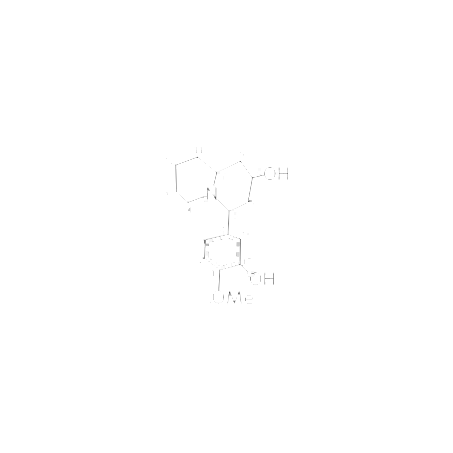 COc1ccc(C2CC(O)CC3CCCCN32)cc1O